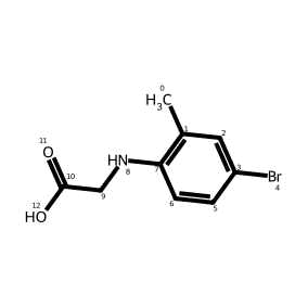 Cc1cc(Br)ccc1NCC(=O)O